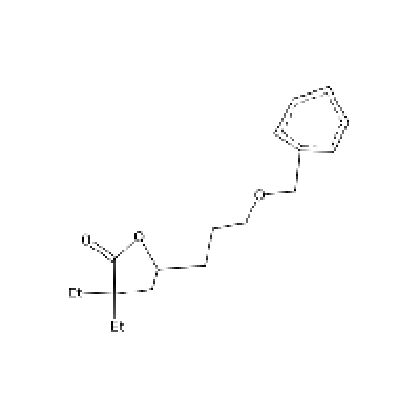 CCC1(CC)CC(CCCOCc2ccccc2)OC1=O